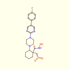 O=C(NO)C1(C=S(=O)=O)CCCCC1N1CCN(c2ncc(-c3ccc(F)cc3)cn2)CC1